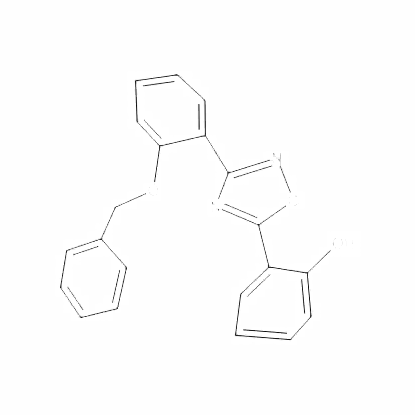 Oc1ccccc1-c1nc(-c2ccccc2OCc2ccccc2)no1